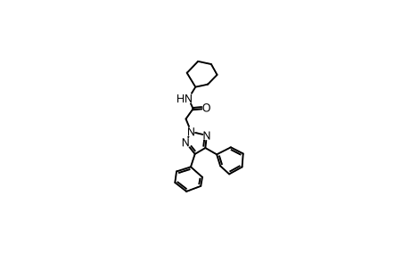 O=C(Cn1nc(-c2ccccc2)c(-c2ccccc2)n1)NC1CCCCC1